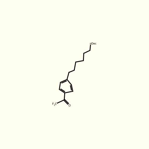 CCCCCCCCCCCCCCCCc1ccc(C(=O)C(F)(F)F)cc1